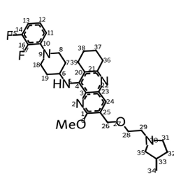 COc1nc2c(NC3CCN(c4cccc(F)c4F)CC3)c3c(nc2cc1COCCN1CCC(C)C1)CCCC3